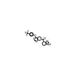 O=C(C1CCCc2[nH]cnc21)N1CCc2c(ncnc2Oc2ccc(C(F)(F)F)cc2)C1